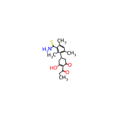 CCC(=O)C1=C(O)CC(c2c(C)cc(C)c(C(N)=S)c2C)CC1=O